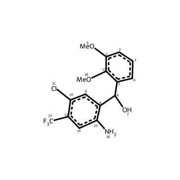 COc1cccc(C(O)c2cc(Cl)c(C(F)(F)F)cc2N)c1OC